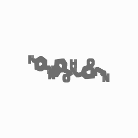 N#CCn1ccc(CNC(=O)c2cccc3c2cnn3-c2ccc(F)cc2)cc1=O